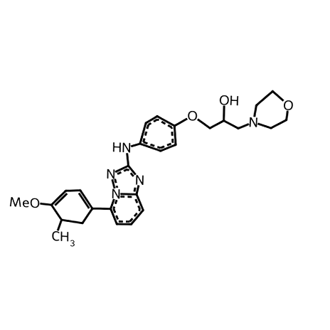 COC1=CC=C(c2cccc3nc(Nc4ccc(OCC(O)CN5CCOCC5)cc4)nn23)CC1C